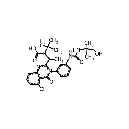 CC(c1nc2cccc(Cl)c2c(=O)n1-c1cccc(NC(=O)NC(C)(C)CO)c1)N(C(=O)O)C(C)(C)C